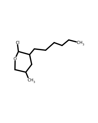 CCCCCCC1CC(C)COC1Cl